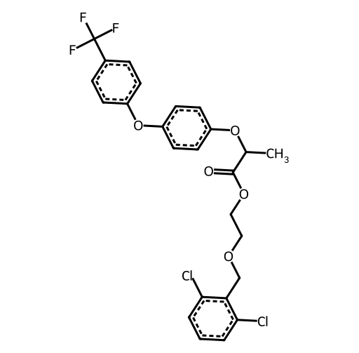 CC(Oc1ccc(Oc2ccc(C(F)(F)F)cc2)cc1)C(=O)OCCOCc1c(Cl)cccc1Cl